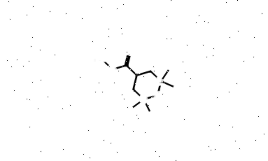 CCC(C)OC(=O)C1C[Si](C)(C)O[Si](C)(C)C1